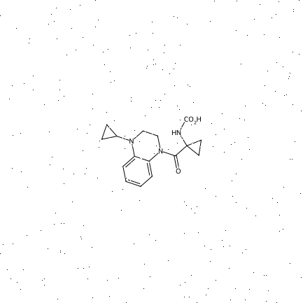 O=C(O)NC1(C(=O)N2CCN(C3CC3)c3ccccc32)CC1